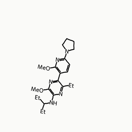 CCc1nc(NC(CC)CC)c(OC)nc1-c1ccc(N2CCCC2)nc1OC